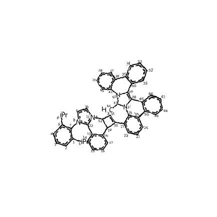 CC(C)c1cccc(C(C)C)c1-n1cc[n+]2c1-c1ccccc1C1C(c3cccc4c3N3C(=C5c6ccccc6-c6ccccc6N5C3C)c3ccccc3-4)=CC12